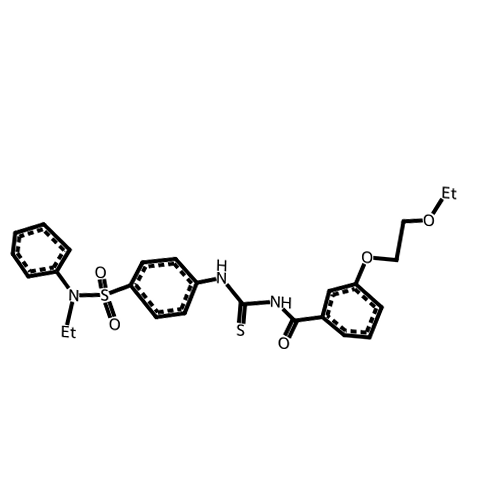 CCOCCOc1cccc(C(=O)NC(=S)Nc2ccc(S(=O)(=O)N(CC)c3ccccc3)cc2)c1